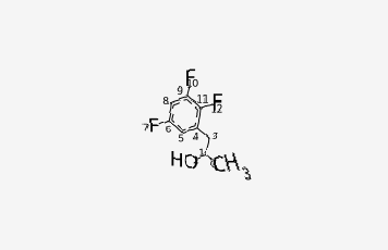 C[C@@H](O)Cc1cc(F)cc(F)c1F